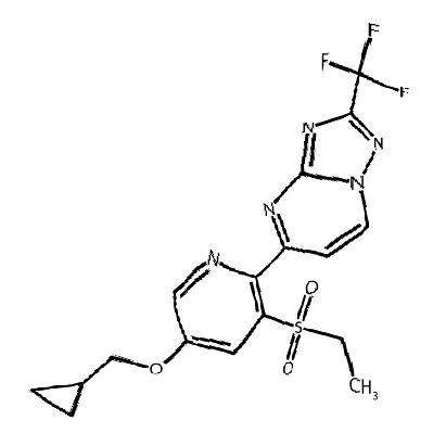 CCS(=O)(=O)c1cc(OCC2CC2)cnc1-c1ccn2nc(C(F)(F)F)nc2n1